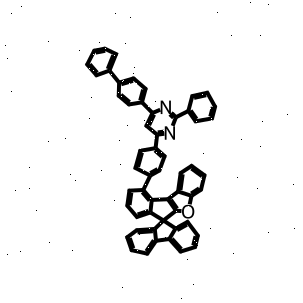 c1ccc(-c2ccc(-c3cc(-c4ccc(-c5cccc6c5-c5c(oc7ccccc57)C65c6ccccc6-c6ccccc65)cc4)nc(-c4ccccc4)n3)cc2)cc1